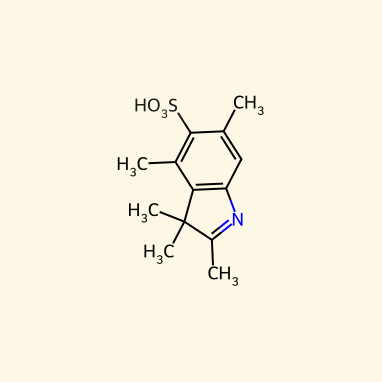 CC1=Nc2cc(C)c(S(=O)(=O)O)c(C)c2C1(C)C